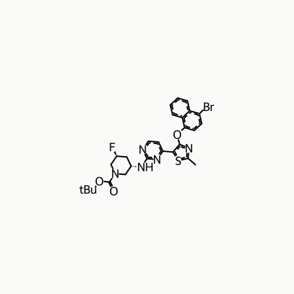 Cc1nc(Oc2ccc(Br)c3ccccc23)c(-c2ccnc(N[C@H]3C[C@H](F)CN(C(=O)OC(C)(C)C)C3)n2)s1